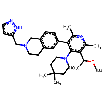 Cc1nc(C)c(C(OC(C)(C)C)C(=O)O)c(N2CCC(C)(C)CC2)c1-c1ccc2c(c1)CCN(Cc1ccn[nH]1)C2